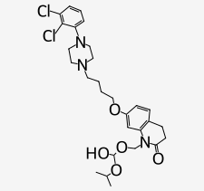 CC(C)OC(O)OCN1C(=O)CCc2ccc(OCCCCN3CCN(c4cccc(Cl)c4Cl)CC3)cc21